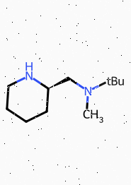 CN(C[C@H]1CCCCN1)C(C)(C)C